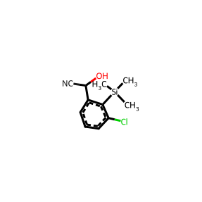 C[Si](C)(C)c1c(Cl)cccc1C(O)C#N